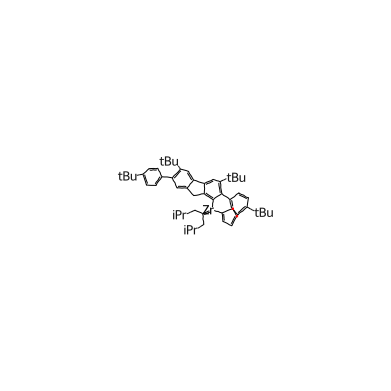 CC(C)C[C](CC(C)C)=[Zr]([C]1=CC=CC1)[c]1c2c(cc(C(C)(C)C)c1-c1ccc(C(C)(C)C)cc1)-c1cc(C(C)(C)C)c(-c3ccc(C(C)(C)C)cc3)cc1C2